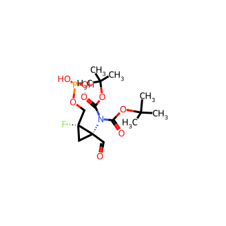 CC(C)(C)OC(=O)N(C(=O)OC(C)(C)C)[C@]1(C=O)C[C@@]1(F)COP(O)O